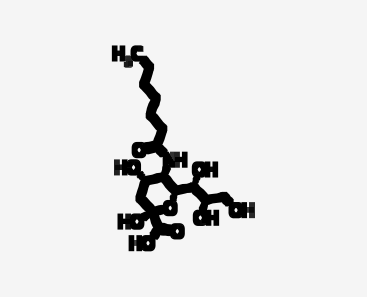 CCCCCCC(=O)N[C@H]1[C@H]([C@H](O)[C@H](O)CO)O[C@](O)(C(=O)O)C[C@@H]1O